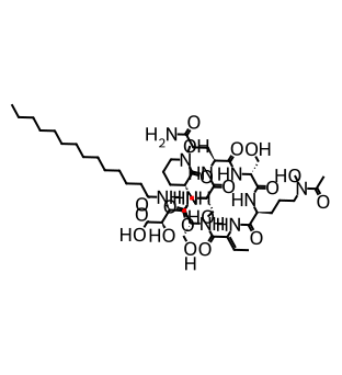 C/C=C(\NC(=O)[C@H](CCCN(O)C(C)=O)NC(=O)[C@@H](CO)NC(=O)[C@H](CCC(N)=O)NC(=O)[C@H](CO)NC(=O)[C@H](NC(=O)CCCCCCCCCCCCC)[C@@H](O)C(=O)O)C(=O)N[C@H](CO)C(=O)N[C@@H]1CCCN(O)C1=O